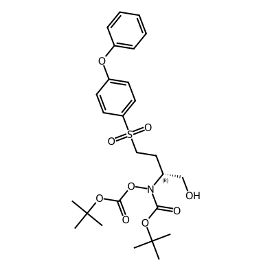 CC(C)(C)OC(=O)ON(C(=O)OC(C)(C)C)[C@@H](CO)CCS(=O)(=O)c1ccc(Oc2ccccc2)cc1